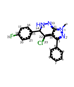 Cn1nc(-c2ccccc2)c2c1=NNC(c1ccc(F)cc1)C=2Cl